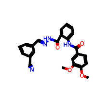 COc1ccc(C(=O)Nc2ccccc2C(=O)NN=Cc2cccc(C#N)c2)cc1OC